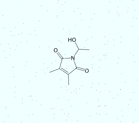 CC1=C(C)C(=O)N(C(C)O)C1=O